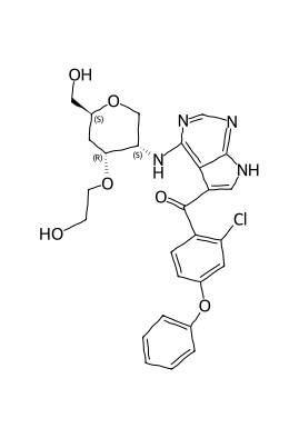 O=C(c1ccc(Oc2ccccc2)cc1Cl)c1c[nH]c2ncnc(N[C@H]3CO[C@H](CO)C[C@H]3OCCO)c12